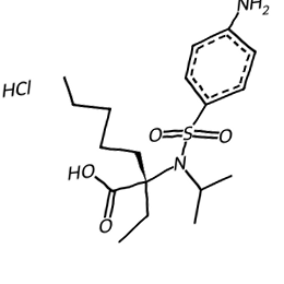 CCCCC[C@@](CC)(C(=O)O)N(C(C)C)S(=O)(=O)c1ccc(N)cc1.Cl